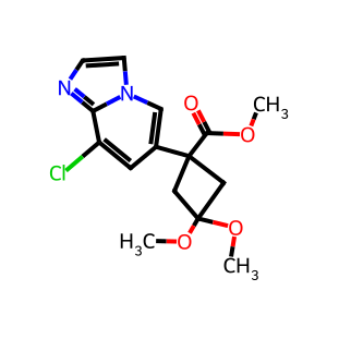 COC(=O)C1(c2cc(Cl)c3nccn3c2)CC(OC)(OC)C1